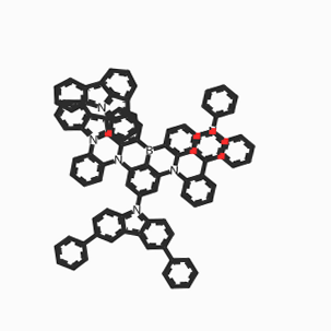 c1ccc(-c2ccc3c(c2)c2cc(-c4ccccc4)ccc2n3-c2cc3c4c(c2)N(c2ccccc2-n2c5ccccc5c5ccccc52)c2cc5c(cc2B4c2ccc(N(c4ccccc4)c4ccccc4)cc2N3c2ccccc2-c2ccccc2)c2cccc3c4ccccc4n5c32)cc1